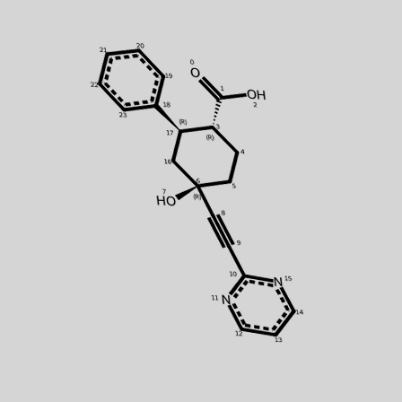 O=C(O)[C@@H]1CC[C@](O)(C#Cc2ncccn2)C[C@H]1c1ccccc1